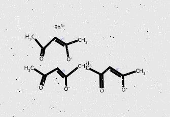 CC(=O)/C=C(/C)[O-].CC(=O)/C=C(/C)[O-].CC(=O)/C=C(/C)[O-].[Rh+3]